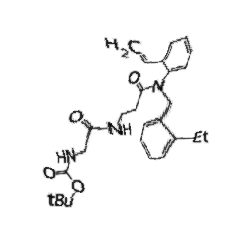 C=Cc1ccccc1N(Cc1ccccc1CC)C(=O)CCNC(=O)CNC(=O)OC(C)(C)C